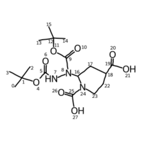 CC(C)(C)OC(=O)NN(C(=O)OC(C)(C)C)C1CC(C(=O)O)CCN1C(=O)O